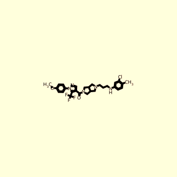 COc1ccc(-n2ncc(C(=O)N3CC4CN(CCCNc5ccc(C)c(Cl)c5)CC4C3)c2C(F)(F)F)cc1